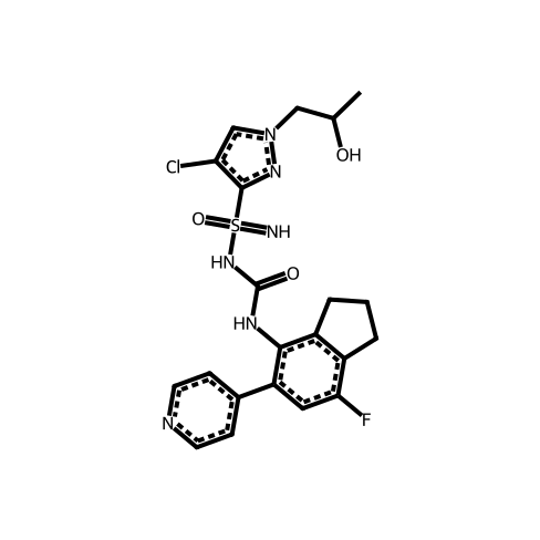 CC(O)Cn1cc(Cl)c(S(=N)(=O)NC(=O)Nc2c(-c3ccncc3)cc(F)c3c2CCC3)n1